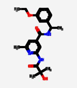 Cc1cc(C(=O)NC(C)c2cccc(OCC(F)(F)F)c2)cc(NC(=O)C(C)(C)O)n1